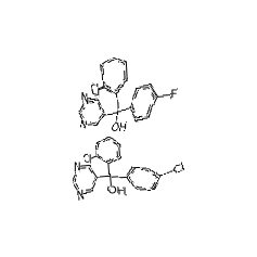 OC(c1ccc(Cl)cc1)(c1cncnc1)c1ccccc1Cl.OC(c1ccc(F)cc1)(c1cncnc1)c1ccccc1Cl